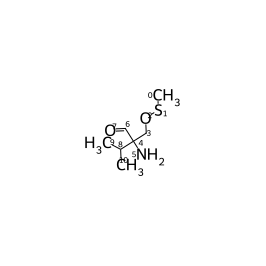 CSOCC(N)(C=O)C(C)C